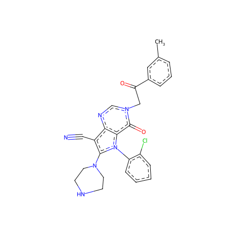 Cc1cccc(C(=O)Cn2cnc3c(C#N)c(N4CCNCC4)n(-c4ccccc4Cl)c3c2=O)c1